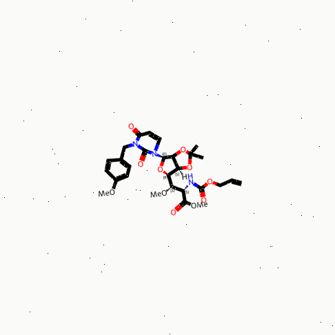 C=CCOC(=O)N[C@H](C(=O)OC)[C@H](OC)[C@H]1O[C@@H](n2ccc(=O)n(Cc3ccc(OC)cc3)c2=O)C2OC(C)(C)O[C@H]21